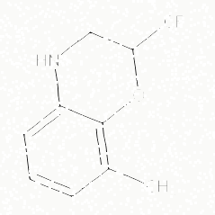 Cc1cccc2c1OC(C(F)(F)F)CN2